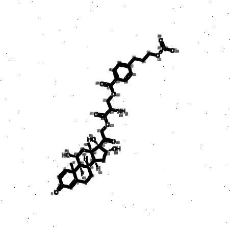 C[C@]12C=CC(=O)C=C1CC[C@H]1[C@@H]3C[C@@H](O)[C@](O)(C(=O)COC(=O)C(N)COC(=O)c4ccc(CCCO[N+](=O)[O-])cc4)[C@@]3(C)C[C@H](O)[C@@]12F